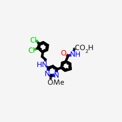 COc1nc(NCCc2cccc(Cl)c2Cl)cc(-c2cccc(C(=O)NCC(=O)O)c2)n1